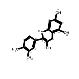 Cc1ccc(C2=C(O)Cc3c(O)cc(O)cc3O2)cc1C